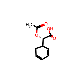 CC(=O)O[C@H](C(=O)O)C1C=CC=CC1